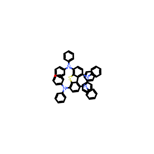 c1ccc(N(c2ccccc2)c2ccc(N(c3ccccc3)c3ccccc3)c3c2sc2c(N(c4ccccc4)c4ccccc4)ccc(N(c4ccccc4)c4ccccc4)c23)cc1